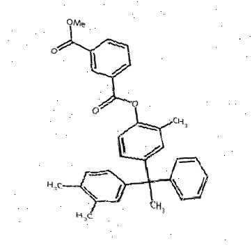 COC(=O)c1cccc(C(=O)Oc2ccc(C(C)(c3ccccc3)c3ccc(C)c(C)c3)cc2C)c1